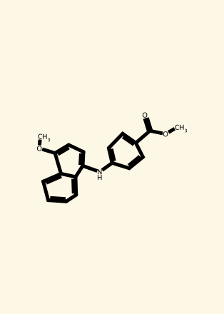 COC(=O)c1ccc(Nc2ccc(OC)c3ccccc23)cc1